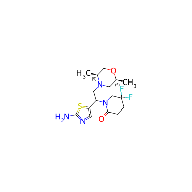 C[C@H]1CN(CC(c2cnc(N)s2)N2CC(F)(F)CCC2=O)[C@@H](C)CO1